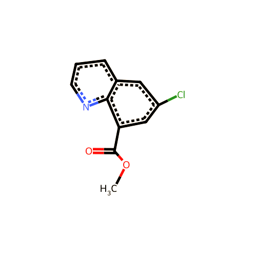 COC(=O)c1cc(Cl)cc2cccnc12